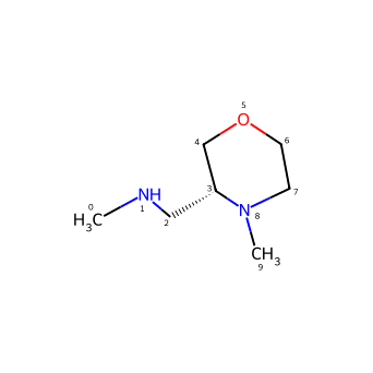 CNC[C@@H]1COCCN1C